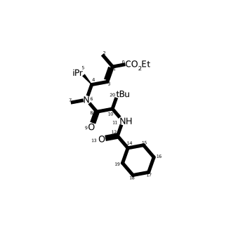 CCOC(=O)/C(C)=C/[C@H](C(C)C)N(C)C(=O)C(NC(=O)C1CCCCC1)C(C)(C)C